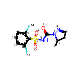 CC1CC=NN1C(=O)NS(=O)(=O)c1c(F)cccc1F